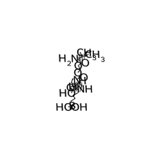 CC[C@H](C)[C@H](N)C(=O)OCOC(=O)N1CC[C@H]2[C@@H]1CN[C@@]2(CCCCB(O)O)C(=O)O